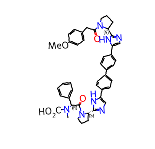 COc1ccc(CC(=O)N2CCC[C@H]2c2ncc(-c3ccc(-c4ccc(-c5cnc([C@@H]6CCCN6C(=O)[C@@H](c6ccccc6)N(C)C(=O)O)[nH]5)cc4)cc3)[nH]2)cc1